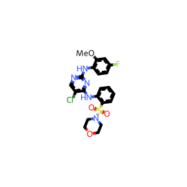 COc1cc(F)ccc1Nc1ncc(Cl)c(Nc2ccccc2S(=O)(=O)N2CCOCC2)n1